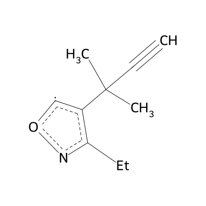 C#CC(C)(C)c1[c]onc1CC